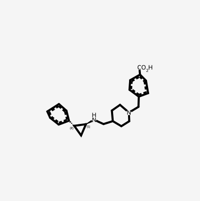 O=C(O)c1ccc(CN2CCC(CN[C@H]3C[C@@H]3c3ccccc3)CC2)cc1